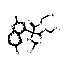 CCOC(=O)C(NC(C)=O)(C(=O)OCC)c1nc(Cl)nc2ccc(Cl)cc12